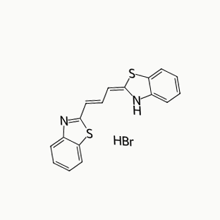 Br.C(=Cc1nc2ccccc2s1)C=C1Nc2ccccc2S1